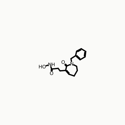 O=C(CCC1=CCCCN(Cc2ccccc2)C1=O)NO